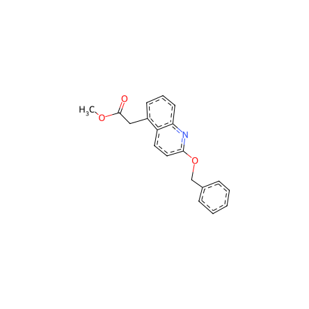 COC(=O)Cc1cccc2nc(OCc3ccccc3)ccc12